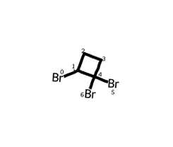 Br[C]1CCC1(Br)Br